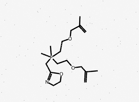 C=C(C)COCCP(C)(C)(CCOCC(=C)C)CC1=NCCO1